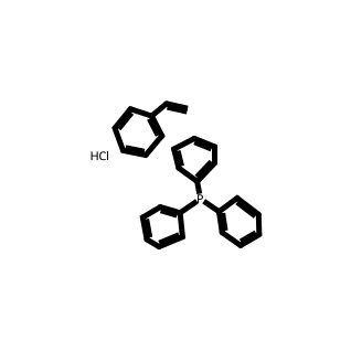 C=Cc1ccccc1.Cl.c1ccc(P(c2ccccc2)c2ccccc2)cc1